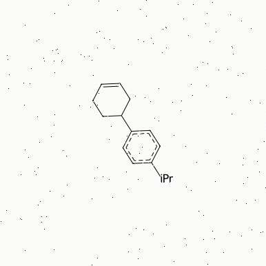 CC(C)c1ccc(C2CC=CCC2)cc1